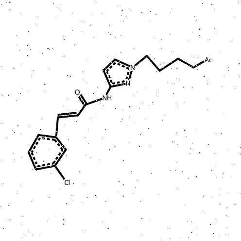 CC(=O)CCCCn1ccc(NC(=O)C=Cc2cccc(Cl)c2)n1